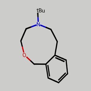 CC(C)(C)N1CCOCc2ccccc2CC1